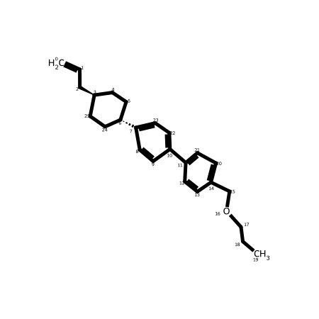 C=CC[C@H]1CC[C@H](c2ccc(-c3ccc(COCCC)cc3)cc2)CC1